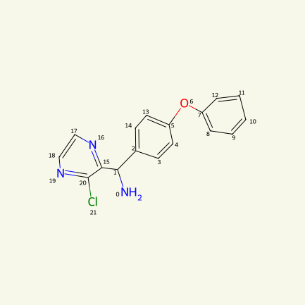 NC(c1ccc(Oc2ccccc2)cc1)c1nccnc1Cl